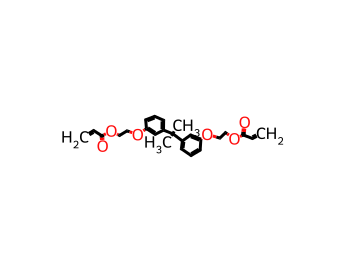 C=CC(=O)OCCOc1cccc(C(C)(C)c2cccc(OCCOC(=O)C=C)c2)c1